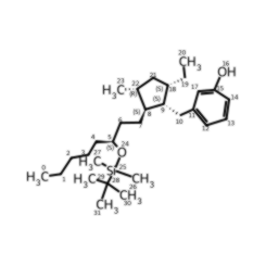 CCCCC[C@@H](CC[C@@H]1[C@@H](Cc2cccc(O)c2)[C@@H](CC)C[C@H]1C)O[Si](C)(C)C(C)(C)C